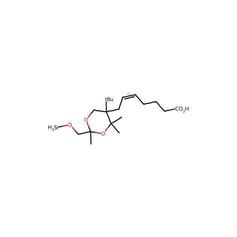 CC1(CO[SiH3])OCC(C/C=C\CCCC(=O)O)(C(C)(C)C)C(C)(C)O1